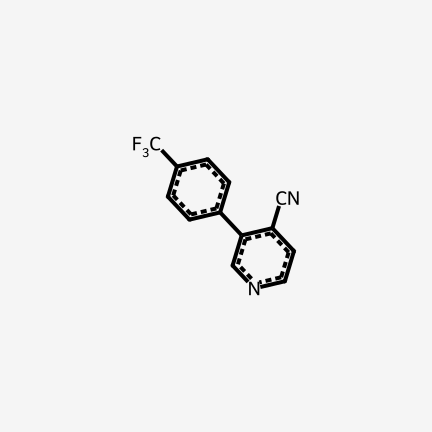 N#Cc1ccncc1-c1ccc(C(F)(F)F)cc1